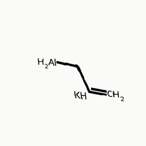 C=C[CH2][AlH2].[KH]